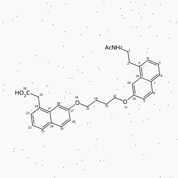 CC(=O)NCCc1cccc2ccc(OCCCCOc3ccc4cccc(CC(=O)O)c4c3)cc12